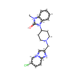 Cn1c(=O)n(C2CCN(Cc3cn4cc(Cl)ccc4n3)CC2)c2ccccc21